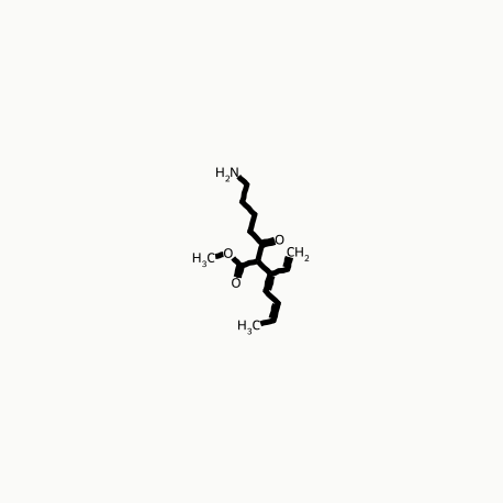 C=C/C(=C\C=C/C)C(C(=O)CCCCN)C(=O)OC